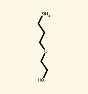 OCCOCCC[SiH3]